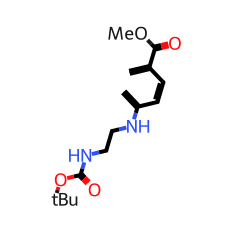 C=C(/C=C\C(=C)C(=O)OC)NCCNC(=O)OC(C)(C)C